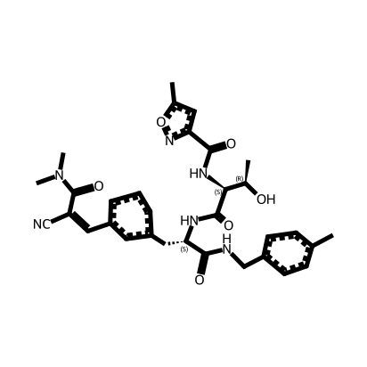 Cc1ccc(CNC(=O)[C@H](Cc2cccc(C=C(C#N)C(=O)N(C)C)c2)NC(=O)[C@@H](NC(=O)c2cc(C)on2)[C@@H](C)O)cc1